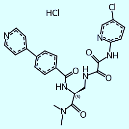 CN(C)C(=O)[C@H](CNC(=O)C(=O)Nc1ccc(Cl)cn1)NC(=O)c1ccc(-c2ccncc2)cc1.Cl